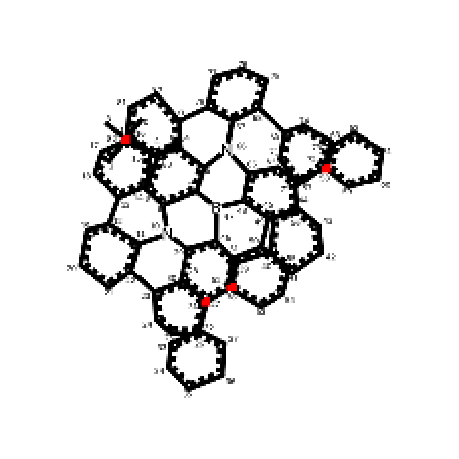 CC(C)(C)c1cc2c3c(c1)N(c1c(-c4ccccc4)cccc1-c1ccccc1)c1cc(-c4ccccc4)cc(-c4ccccc4)c1B3c1c(-c3ccccc3)cc(-c3ccccc3)cc1N2c1c(-c2ccccc2)cccc1-c1ccccc1